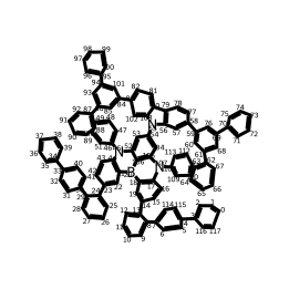 c1ccc(-c2ccc(-c3ccccc3-c3ccc4c(c3)B3c5cc(-c6ccccc6-c6ccc(-c7ccccc7)cc6)ccc5N(c5ccccc5)c5cc(-n6c7cc(-c8cc(-c9ccccc9)cc(-c9ccccc9)c8)ccc7c7ccc(-c8cc(-c9ccccc9)cc(-c9ccccc9)c8)cc76)cc(c53)N4c3ccccc3)cc2)cc1